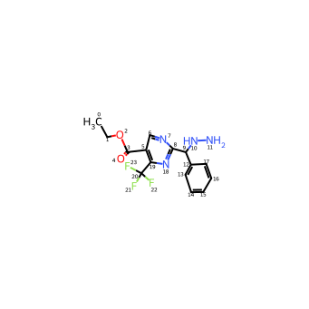 CCOC(=O)c1cnc(C(NN)c2ccccc2)nc1C(F)(F)F